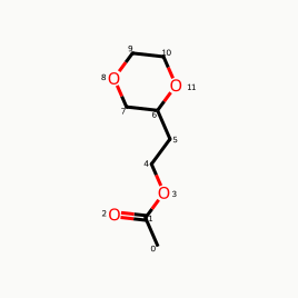 CC(=O)OCCC1COCCO1